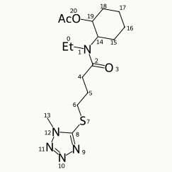 CCN(C(=O)CCCSc1nnnn1C)C1CCCCC1OC(C)=O